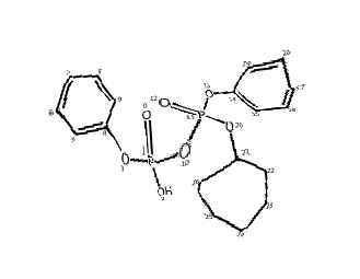 O=P(O)(Oc1ccccc1)OP(=O)(Oc1ccccc1)OC1CCCCC1